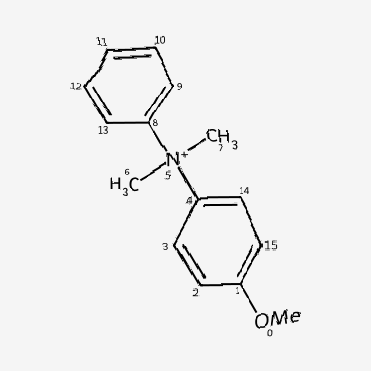 COc1ccc([N+](C)(C)c2ccccc2)cc1